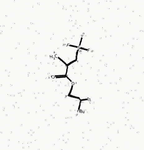 CCCCC(CC)COC(=O)C(C)CS(F)(F)F